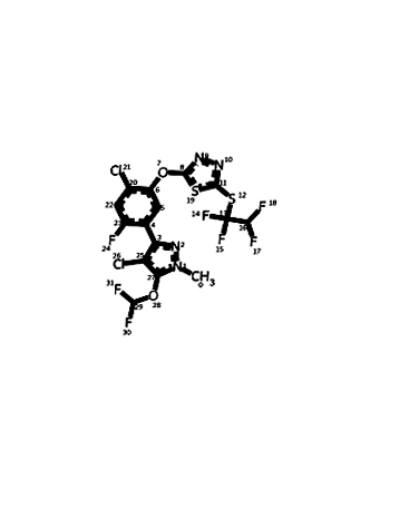 Cn1nc(-c2cc(Oc3nnc(SC(F)(F)C(F)F)s3)c(Cl)cc2F)c(Cl)c1OC(F)F